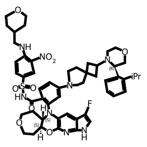 CC(C)c1ccccc1[C@@H]1COCCN1C1CC2(CCN(c3ccc(C(=O)NS(=O)(=O)c4ccc(NCC5CCOCC5)c([N+](=O)[O-])c4)c(N4c5cc6c(F)c[nH]c6nc5O[C@H]5CCOCC[C@@H]54)c3)CC2)C1